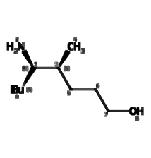 CC[C@H](C)[C@@H](N)[C@@H](C)CCCO